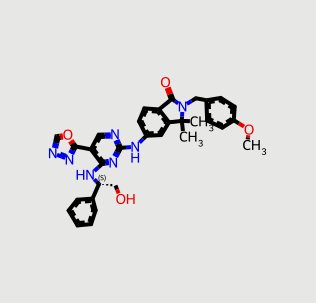 COc1ccc(CN2C(=O)c3ccc(Nc4ncc(-c5nnco5)c(N[C@H](CO)c5ccccc5)n4)cc3C2(C)C)cc1